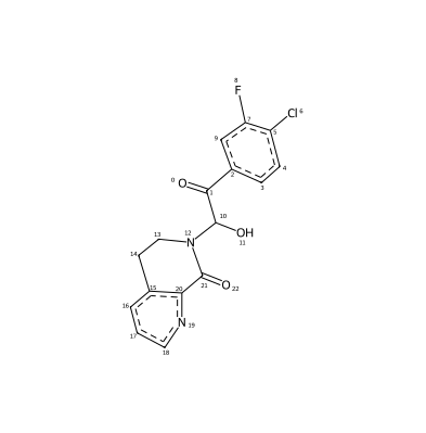 O=C(c1ccc(Cl)c(F)c1)C(O)N1CCc2cccnc2C1=O